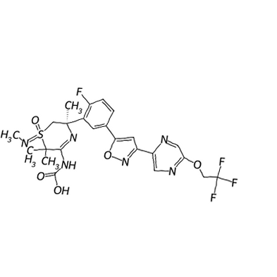 CN=S1(=O)C[C@@](C)(c2cc(-c3cc(-c4cnc(OCC(F)(F)F)cn4)no3)ccc2F)N=C(NC(=O)O)C1(C)C